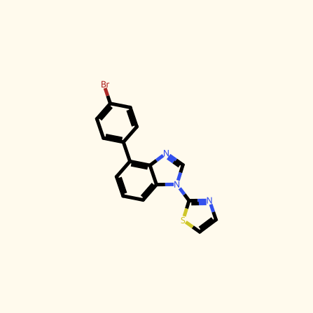 Brc1ccc(-c2cccc3c2ncn3-c2nccs2)cc1